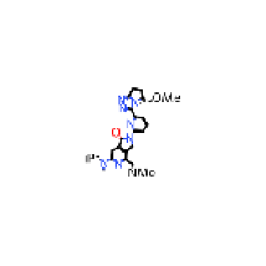 CNCc1nc(N(C)C(C)C)cc2c1CN(c1cccc(-c3nnc4n3[C@@H](COC)CC4)n1)C2=O